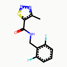 Cc1nnsc1C(=O)NCc1c(F)cccc1F